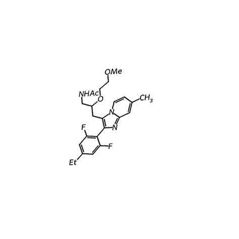 CCc1cc(F)c(-c2nc3cc(C)ccn3c2CC(CNC(C)=O)OCCOC)c(F)c1